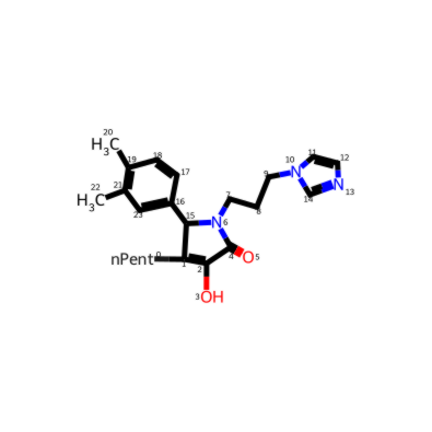 CCCCCC1=C(O)C(=O)N(CCCn2ccnc2)C1c1ccc(C)c(C)c1